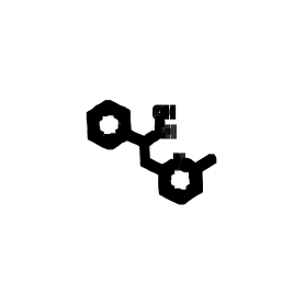 Cc1cccc(CC(NO)c2ccccc2)n1